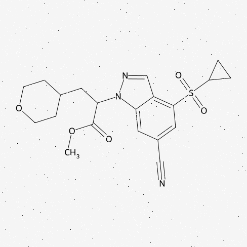 COC(=O)C(CC1CCOCC1)n1ncc2c(S(=O)(=O)C3CC3)cc(C#N)cc21